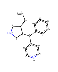 CNC[C@@H]1CNCC1C(c1ccccc1)c1ccncc1